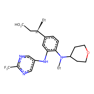 CC[C@H](CC(=O)O)c1ccc(N(CC)C2CCOCC2)c(Nc2cnc(C(F)(F)F)nc2)c1